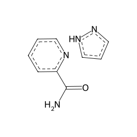 NC(=O)c1ccccn1.c1cn[nH]c1